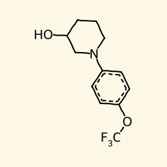 OC1CCCN(c2ccc(OC(F)(F)F)cc2)C1